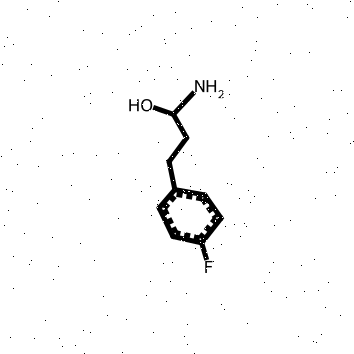 NC(O)CCc1ccc(F)cc1